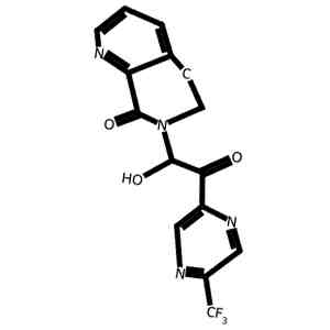 O=C(c1cnc(C(F)(F)F)cn1)C(O)N1CCc2cccnc2C1=O